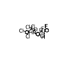 O=C(Nc1cccc(F)c1F)c1cc(NC(=O)C2C(c3cc(Cl)cc(Cl)c3)C2(Cl)Cl)ccc1Cl